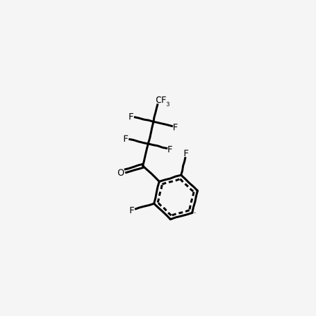 O=C(c1c(F)c[c]cc1F)C(F)(F)C(F)(F)C(F)(F)F